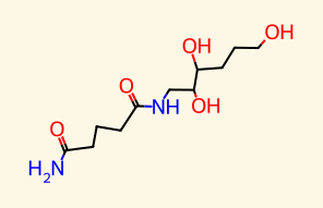 NC(=O)CCCC(=O)NCC(O)C(O)CCCO